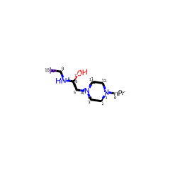 CCCN1CCN(CC(O)NCI)CC1